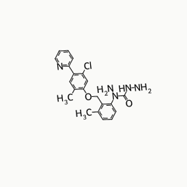 Cc1cc(-c2ccccn2)c(Cl)cc1OCc1c(C)cccc1N(N)C(=O)NN